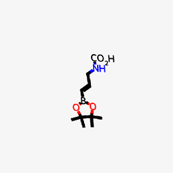 CC1(C)OB(C=CCNC(=O)O)OC1(C)C